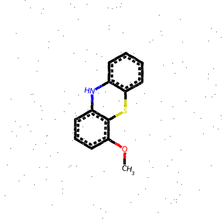 COc1cccc2c1Sc1ccccc1N2